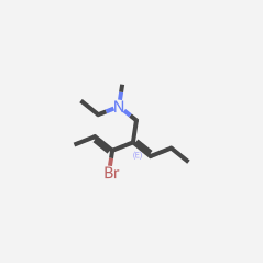 CC=C(Br)/C(=C/CC)CN(C)CC